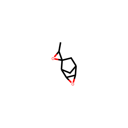 CC1OC12CC1CC2C2OC12